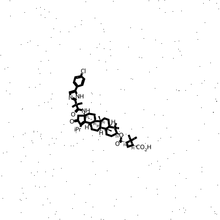 CC(C)C1=C2[C@H]3CC[C@@H]4[C@@]5(C)CC[C@H](OC(=O)[C@H]6C[C@@H](C(=O)O)C6(C)C)C(C)(C)[C@@H]5CC[C@@]4(C)[C@]3(C)CC[C@@]2(NC(=O)C(C)(C)c2ncc(-c3ccc(Cl)cc3)[nH]2)CC1=O